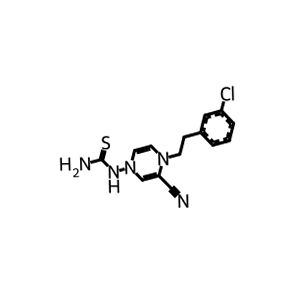 N#CC1=CN(NC(N)=S)C=CN1CCc1cccc(Cl)c1